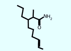 C/C=C/CCCC(CCC)C(C)C(N)=O